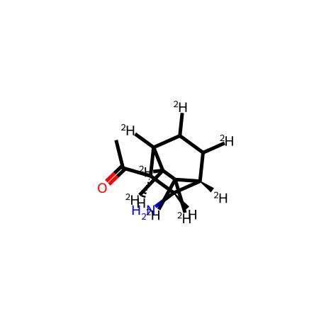 [2H]C1C([2H])[C@]2([2H])[C@H](N)[C@@H](C(C)=O)C1([2H])C([2H])([2H])C2([2H])[2H]